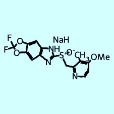 COc1ccnc(C[S+]([O-])c2nc3cc4c(cc3[nH]2)OC(F)(F)O4)c1C.[NaH]